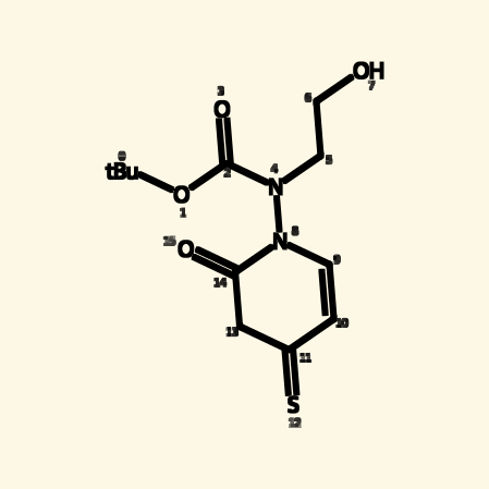 CC(C)(C)OC(=O)N(CCO)N1C=CC(=S)CC1=O